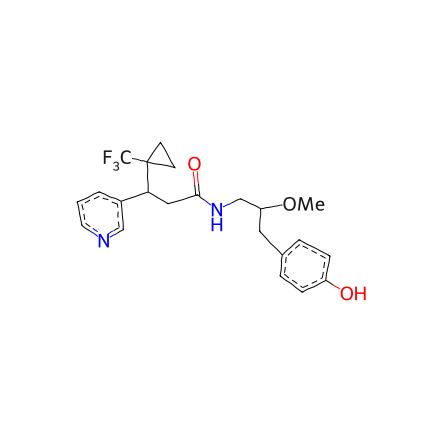 COC(CNC(=O)CC(c1cccnc1)C1(C(F)(F)F)CC1)Cc1ccc(O)cc1